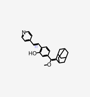 COC(=C1C2CC3CC(C2)CC1C3)c1ccc(/C=C/c2ccncc2)c(O)c1